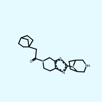 O=C(CC12CCC(CC1)C2)N1CCc2nc(N3C4CCC3CNC4)sc2C1